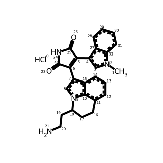 Cl.Cn1cc(C2=C(c3cn4c5c(cccc35)CCC4CCN)C(=O)NC2=O)c2ccccc21